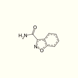 NC(=O)c1noc2ccccc12